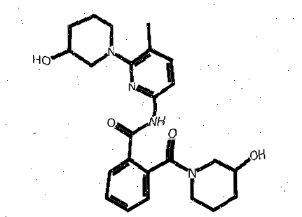 Cc1ccc(NC(=O)c2ccccc2C(=O)N2CCCC(O)C2)nc1N1CCCC(O)C1